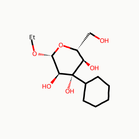 CCO[C@@H]1O[C@H](CO)[C@@H](O)[C@@](O)(C2CCCCC2)[C@H]1O